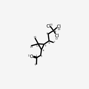 CC(=O)CC1C(C(C)[CH]C(Cl)(Cl)Cl)C1(C)C